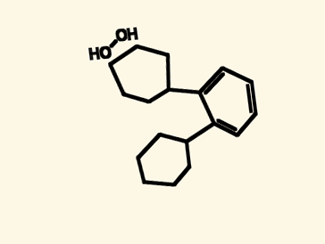 OO.c1ccc(C2CCCCC2)c(C2CCCCC2)c1